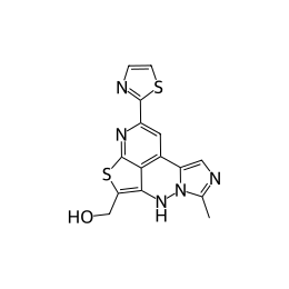 Cc1ncc2c3cc(-c4nccs4)nc4sc(CO)c([nH]n12)c43